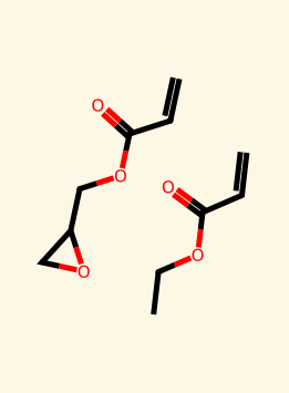 C=CC(=O)OCC.C=CC(=O)OCC1CO1